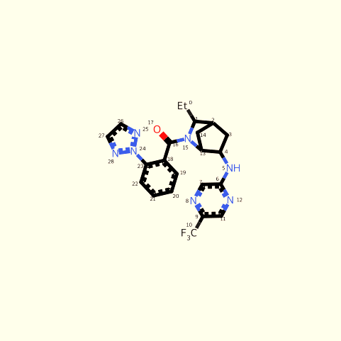 CCC1C2CC(Nc3cnc(C(F)(F)F)cn3)C(C2)N1C(=O)c1ccccc1-n1nccn1